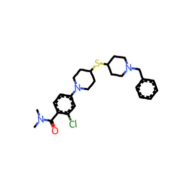 CN(C)C(=O)c1ccc(N2CCC(SC3CCN(Cc4ccccc4)CC3)CC2)cc1Cl